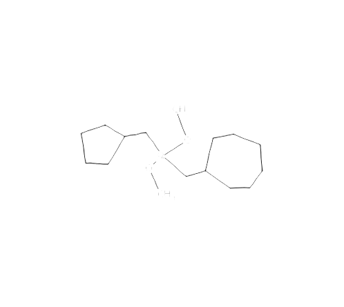 CO[Si](CC1CCCCCC1)(CC1CCCC1)OC